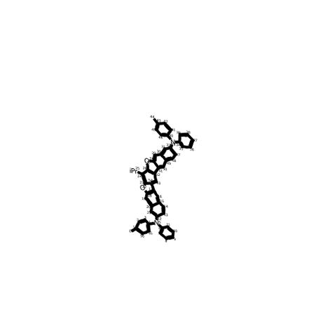 Cc1ccc(N(c2ccccc2)c2ccc3cc4c(cc3c2)oc2c(C(C)C)c3oc5cc6cc(N(c7ccccc7)c7ccc(C)cc7)ccc6cc5c3cc24)cc1